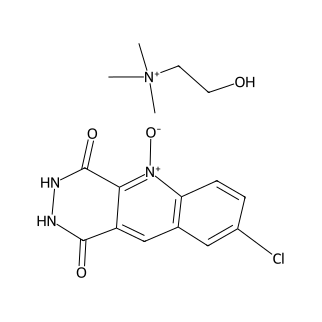 C[N+](C)(C)CCO.O=c1[nH][nH]c(=O)c2c1cc1cc(Cl)ccc1[n+]2[O-]